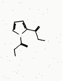 O=C(CO)c1cccn1C(=O)CO